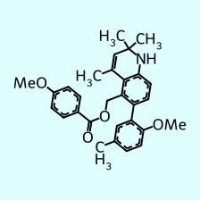 COc1ccc(C(=O)OCc2c(-c3cc(C)ccc3OC)ccc3c2C(C)=CC(C)(C)N3)cc1